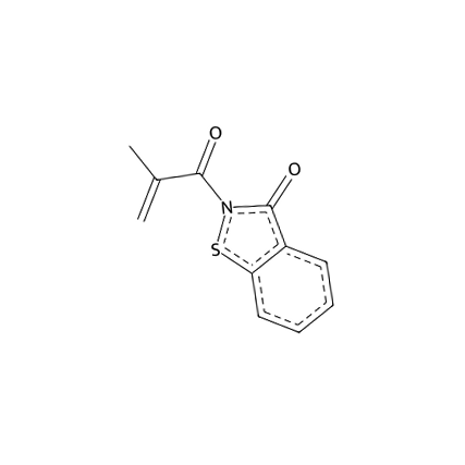 C=C(C)C(=O)n1sc2ccccc2c1=O